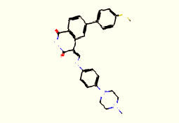 CSc1ccc(-c2ccc3c(c2)C(=CNc2ccc(N4CCN(C)CC4)cc2)C(=O)NC3=O)cc1